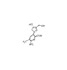 Cc1cn([C@H]2C[C@H](O)[C@@H](CO)O2)c(=O)nc1N.Cl